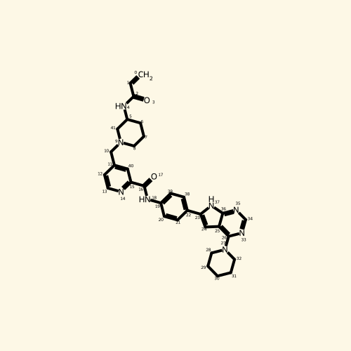 C=CC(=O)NC1CCCN(Cc2ccnc(C(=O)Nc3ccc(-c4cc5c(N6CCCCC6)ncnc5[nH]4)cc3)c2)C1